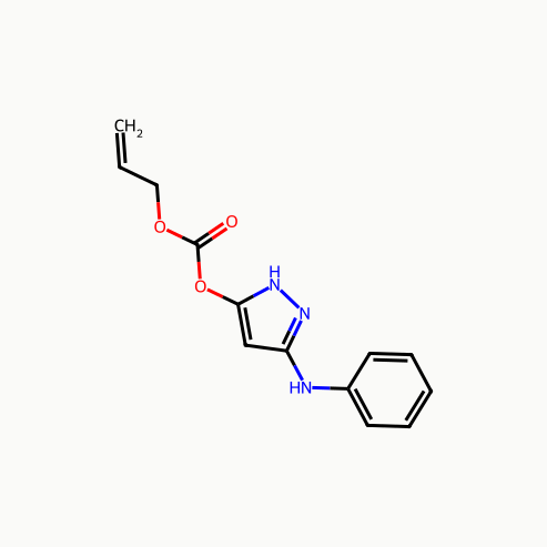 C=CCOC(=O)Oc1cc(Nc2ccccc2)n[nH]1